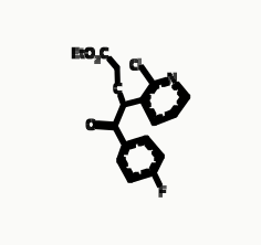 CCOC(=O)CCC(C(=O)c1ccc(F)cc1)c1cccnc1Cl